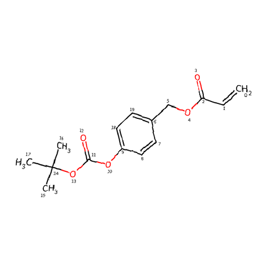 C=CC(=O)OCc1ccc(OC(=O)OC(C)(C)C)cc1